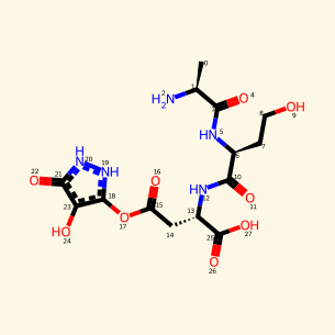 C[C@H](N)C(=O)N[C@@H](CCO)C(=O)N[C@@H](CC(=O)Oc1[nH][nH]c(=O)c1O)C(=O)O